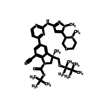 CN1CCOCC1c1cc(Nc2nccc(-c3cc(C#N)c4c(c3)[C@@](C)(CO[Si](C)(C)C(C)(C)C)CN4C(=O)OC(C)(C)C)n2)nn1C